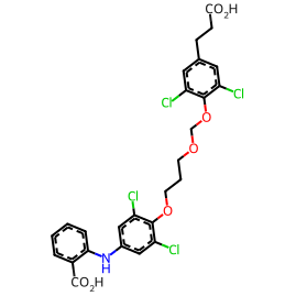 O=C(O)CCc1cc(Cl)c(OCOCCCOc2c(Cl)cc(Nc3ccccc3C(=O)O)cc2Cl)c(Cl)c1